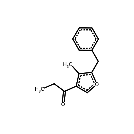 CCC(=O)c1coc(Cc2ccccc2)c1C